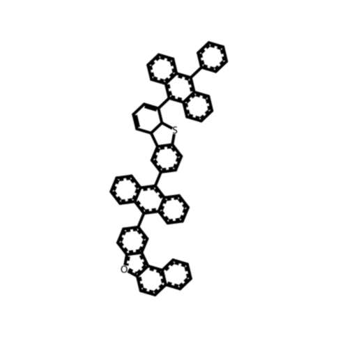 C1=CC2c3cc(-c4c5ccccc5c(-c5ccc6oc7ccc8ccccc8c7c6c5)c5ccccc45)ccc3SC2C(c2c3ccccc3c(-c3ccccc3)c3ccccc23)=C1